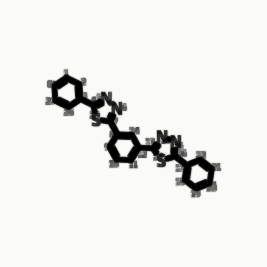 [c]1ccc(-c2nnc(-c3cccc(-c4nnc(-c5cc[c]cc5)s4)c3)s2)cc1